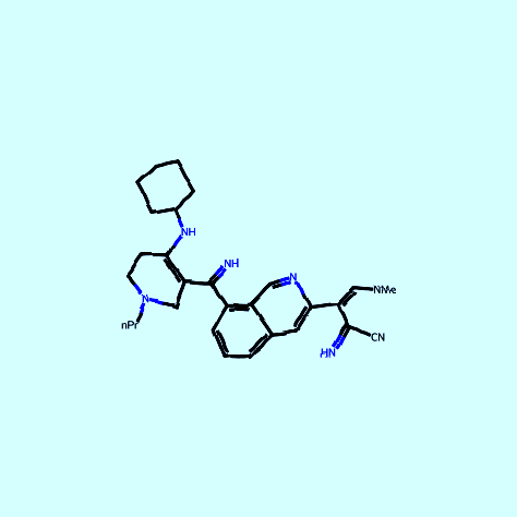 CCCN1CCC(NC2CCCCC2)=C(C(=N)c2cccc3cc(/C(=C/NC)C(=N)C#N)ncc23)C1